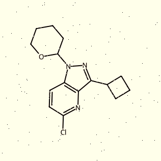 Clc1ccc2c(n1)c(C1CCC1)nn2C1CCCCO1